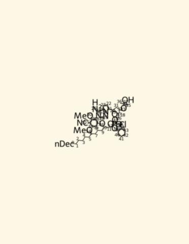 CCCCCCCCCCCCCCCCCCC[C@H](COP(=O)(OC[C@@]1(C)O[C@@H](c2ccc3c(N)ncnn23)C[C@@H]1OC(C)(C)O)Oc1ccccc1Cl)Oc1cc(OC)c(C#N)c(OC)c1